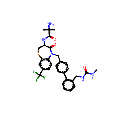 CNC(=O)NCc1ccccc1-c1ccc(CN2C(=O)[C@H](NC(=O)C(C)(C)N)CSc3cc(C(F)(F)F)ccc32)cc1